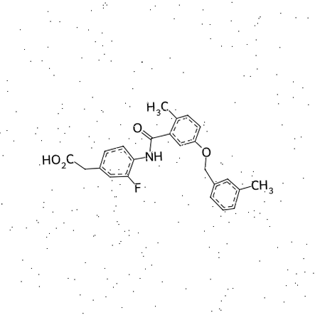 Cc1cccc(COc2ccc(C)c(C(=O)Nc3ccc(CC(=O)O)cc3F)c2)c1